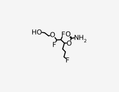 NC(=O)OC(CCCF)C(F)C(F)OCCO